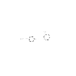 [C-]#[N+]c1ccc(C(=O)O)nc1SCc1ccc(OC)cc1